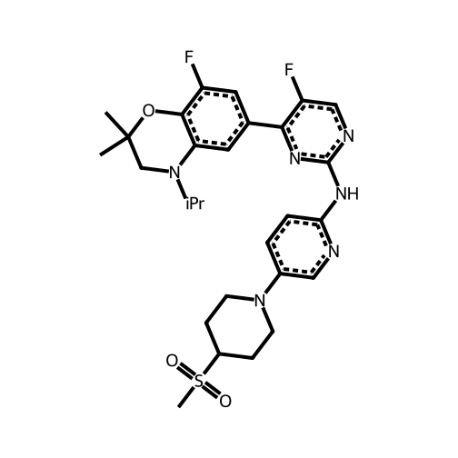 CC(C)N1CC(C)(C)Oc2c(F)cc(-c3nc(Nc4ccc(N5CCC(S(C)(=O)=O)CC5)cn4)ncc3F)cc21